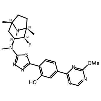 COc1ncnc(-c2ccc(-c3nnc(N(C)[C@H]4C[C@]5(C)CC[C@](C)([C@H]4F)N5C)s3)c(O)c2)n1